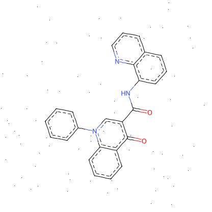 O=C(Nc1cccc2cccnc12)c1cn(-c2ccccc2)c2ccccc2c1=O